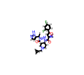 CC(NC(=O)[C@H]1CN(CC2CC2)CC[C@@H]1NC(=O)c1cc(-c2ccc(F)cc2F)on1)c1ccn[nH]1